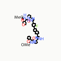 COC(=O)N[C@H](C(=O)N1CCC[C@H]1c1ncc(-c2ccc(-c3ccc4cc(-c5c[nH]c(C6CCCN6C(=O)[C@H](NC(=O)OC)c6ccccc6)n5)ccc4c3)c(F)c2)[nH]1)C1CCOCC1